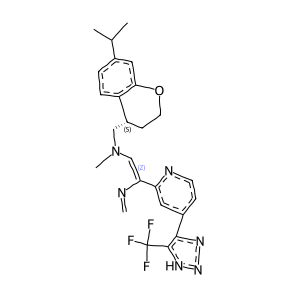 C=N/C(=C\N(C)C[C@H]1CCOc2cc(C(C)C)ccc21)c1cc(-c2nn[nH]c2C(F)(F)F)ccn1